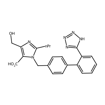 CCCc1nc(CO)c(C(=O)O)n1Cc1ccc(-c2ccccc2-c2nnn[nH]2)cc1